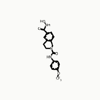 O=C(NO)c1ccc2c(c1)CCN(C(=O)Nc1ccc(OC(F)(F)F)cc1)C2